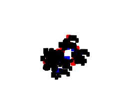 CC[C@H](C)[C@@H]1NC(=O)[C@H](NC(=O)[C@@H](CC(C)C)N(C)C(=O)[C@@H]2CCCN2C(=O)[C@H](C)OC(=O)c2ccccc2-c2c3ccc(=[N+](CC)CC)cc-3oc3cc(N(CC)CC)ccc23)[C@H](C)OC(=O)[C@H](Cc2ccc(OC)cc2)N(C)C(=O)[C@@H]2CCCN2C(=O)[C@H](CC(C)C)NC(=O)[C@H](C(C)C)OC(=O)C[C@@H]1O